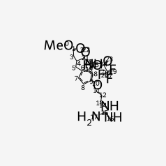 COC(=O)CC1Cc2ccc(OCCCNC(=N)N)cc2NC1=O.O=C(O)C(F)(F)F